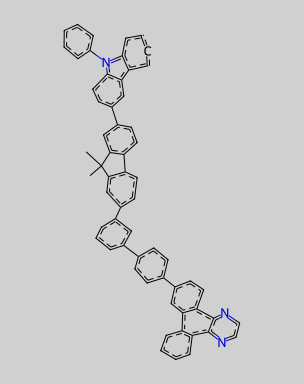 CC1(C)c2cc(-c3cccc(-c4ccc(-c5ccc6c(c5)c5ccccc5c5nccnc65)cc4)c3)ccc2-c2ccc(-c3ccc4c(c3)c3ccccc3n4-c3ccccc3)cc21